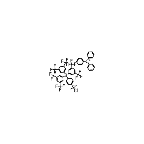 C[Si](C)(Cl)c1ccc([B-](c2cc(C(F)(F)F)cc(C(F)(F)F)c2)(c2cc(C(F)(F)F)cc(C(F)(F)F)c2)c2cc(C(F)(F)F)cc(C(F)(F)F)c2)cc1.c1ccc([C+](c2ccccc2)c2ccccc2)cc1